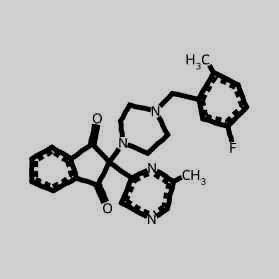 Cc1cncc(C2(N3CCN(Cc4cc(F)ccc4C)CC3)C(=O)c3ccccc3C2=O)n1